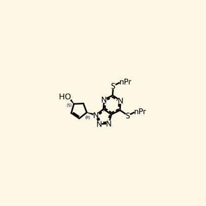 CCCSc1nc(SCCC)c2nnn([C@H]3C=C[C@@H](O)C3)c2n1